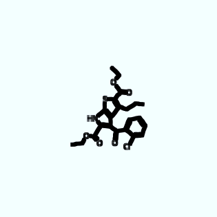 CCCc1c(C(=O)OCC)sc2[nH]c(C(=O)OCC)c(C(=O)c3ccccc3Cl)c12